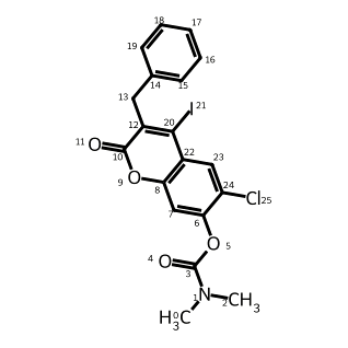 CN(C)C(=O)Oc1cc2oc(=O)c(Cc3ccccc3)c(I)c2cc1Cl